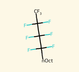 CCCCCCCCC(F)(F)C(F)(F)C(F)(F)C(F)(F)F